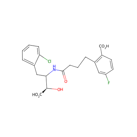 O=C(CCCc1cc(F)ccc1C(=O)O)NC(Cc1ccccc1Cl)[C@@H](O)C(=O)O